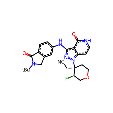 CC(C)(C)N1Cc2cc(Nc3nn([C@@]4(CC#N)CCOC[C@H]4F)c4cc[nH]c(=O)c34)ccc2C1=O